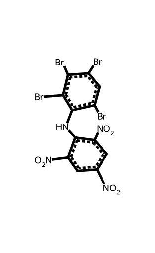 O=[N+]([O-])c1cc([N+](=O)[O-])c(Nc2c(Br)cc(Br)c(Br)c2Br)c([N+](=O)[O-])c1